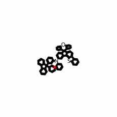 c1ccc(N(c2cccc(C3(c4ccccc4)c4ccccc4-c4ccccc43)c2)c2ccc3c(c2)-c2c(ccc4c2sc2ccccc24)C32c3ccccc3Oc3ccccc32)cc1